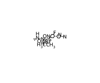 CC(C)S(=O)(=O)C(C(=O)NCC(=O)NC1CC1)c1nc2cc(F)c(-c3ccc(C#N)nc3)cc2s1